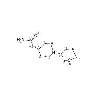 NC(=O)NC1CCN(C2CCCCC2)CC1